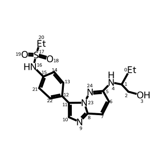 CCC(CO)Nc1ccc2ncc(-c3ccc(NS(=O)(=O)CC)cc3)n2n1